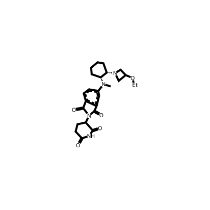 CCOC1CN([C@H]2CCCC[C@H]2N(C)c2ccc3c(c2)C(=O)N(C2CCC(=O)NC2=O)C3=O)C1